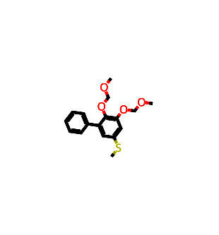 COCOc1cc(SC)cc(-c2ccccc2)c1OCOC